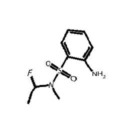 CC(F)N(C)S(=O)(=O)c1ccccc1N